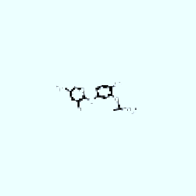 CCOC(=O)C(C)Oc1cc(Oc2ncc(C(F)(F)F)cc2Cl)ccc1C#N